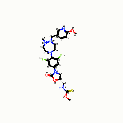 COC(=S)NC[C@H]1CN(c2cc(F)c(N3CCN(C)N(Cc4ccc(OC)nc4)CC3)c(F)c2)C(=O)O1